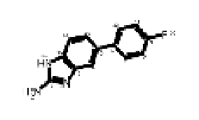 Nc1nc2cc(-c3ccc(F)cc3)ccc2[nH]1